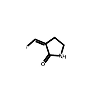 O=C1NCC/C1=C/I